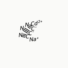 [C-]#N.[C-]#N.[C-]#N.[Cd+2].[Na+]